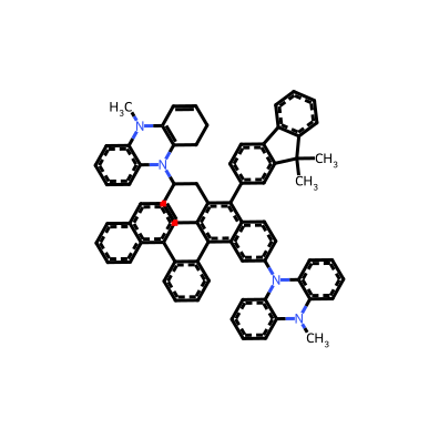 CN1C2=C(CCC=C2)N(C2C=Cc3c(c(-c4ccc5c(c4)C(C)(C)c4ccccc4-5)c4ccc(N5c6ccccc6N(C)c6ccccc65)cc4c3-c3ccccc3-c3cccc4ccccc34)C2)c2ccccc21